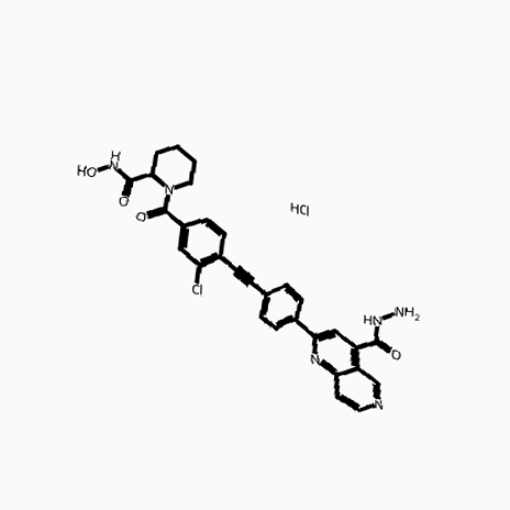 Cl.NNC(=O)c1cc(-c2ccc(C#Cc3ccc(C(=O)N4CCCCC4C(=O)NO)cc3Cl)cc2)nc2ccncc12